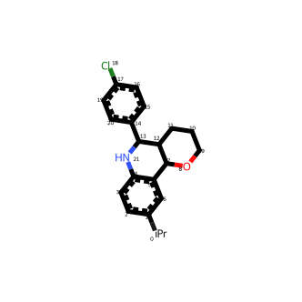 CC(C)c1ccc2c(c1)C1OCCCC1C(c1ccc(Cl)cc1)N2